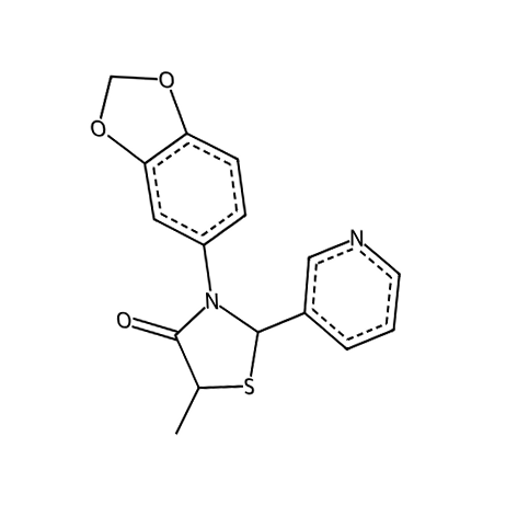 CC1SC(c2cccnc2)N(c2ccc3c(c2)OCO3)C1=O